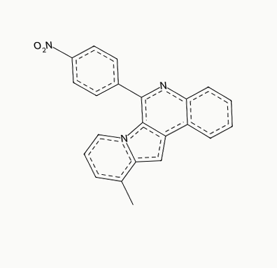 Cc1cccn2c1cc1c3ccccc3nc(-c3ccc([N+](=O)[O-])cc3)c12